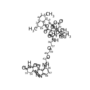 CC1C=C2C=CC(C)C(CC[C@@H]3C[C@@H](O[Si](C)(C)C(C)(C)C)CC(=O)O3)C2C(OC(=O)C(C)(C)CCC(=O)NCCOCCOCCNc2cccc3nnn(C4CCC(=O)NC4=O)c(=O)c23)C1